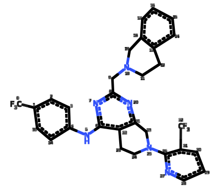 FC(F)(F)c1ccc(Nc2nc(CN3CCc4ccccc4C3)nc3c2CCN(c2ncccc2C(F)(F)F)C3)cc1